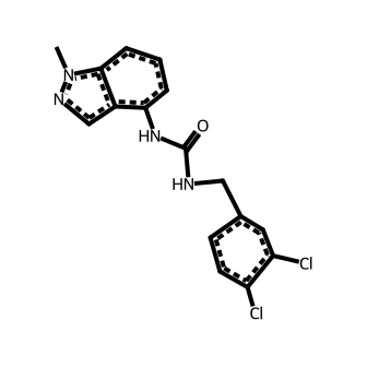 Cn1ncc2c(NC(=O)NCc3ccc(Cl)c(Cl)c3)cccc21